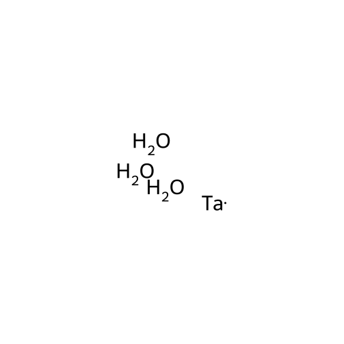 O.O.O.[Ta]